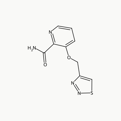 NC(=O)c1ncccc1OCc1csnn1